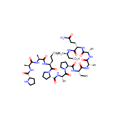 CC(C)C[C@H](NC(=O)[C@@H]1CCCN1C(=O)[C@@H](NC(=O)[C@@H]1CCCN1C(=O)[C@H](CCC(=O)O)NC(=O)[C@H](C)NC(=O)[C@H](C)NC(=O)[C@@H]1CCCN1)C(C)C)C(=O)N[C@H](C(=O)N[C@H](C(=O)N[C@@H](CCC(N)=O)C(=O)N[C@@H](CC(=O)O)C(=O)O)C(C)C)C(C)C